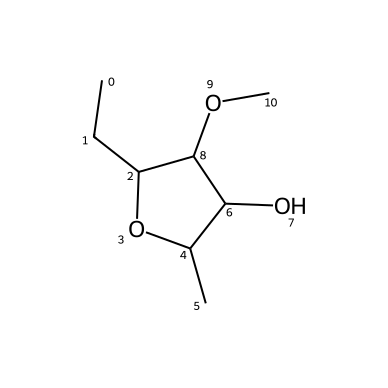 CCC1OC(C)C(O)C1OC